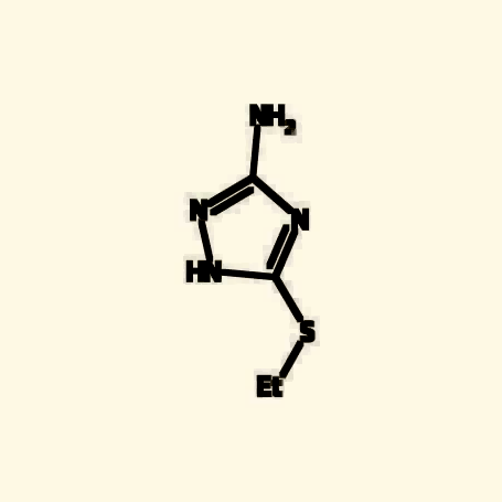 [CH2]CSc1nc(N)n[nH]1